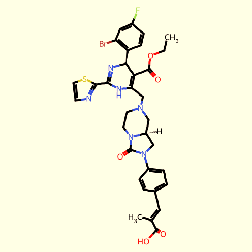 CCOC(=O)C1=C(CN2CCN3C(=O)N(c4ccc(/C=C(\C)C(=O)O)cc4)C[C@@H]3C2)NC(c2nccs2)=N[C@H]1c1ccc(F)cc1Br